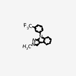 Cn1cc2c3ccccc3n(-c3cccc(C(F)(F)F)c3)c2n1